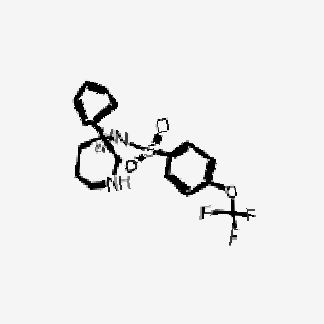 O=S(=O)(N[C@]1(c2ccccc2)CCCNC1)c1ccc(OC(F)(F)F)cc1